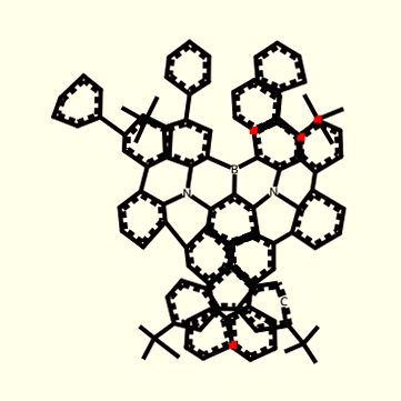 CC(C)(C)c1ccc2c(c1)c1cc(C(C)(C)C)ccc1n2-c1cc2c3c(c1)N(c1c(-c4cccc(-c5ccccc5)c4)cccc1-c1cccc(-c4ccccc4)c1)c1cc(C(C)(C)C)c(-c4ccccc4)cc1B3c1cc(-c3ccccc3)c(C(C)(C)C)cc1N2c1c(-c2cccc(-c3ccccc3)c2)cccc1-c1cccc(-c2ccccc2)c1